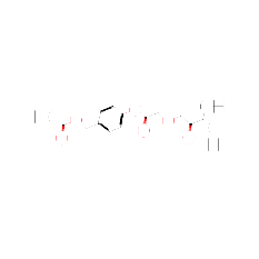 CC(=O)OCc1ccc(OC(=O)COCC(=O)C(C)C)cc1